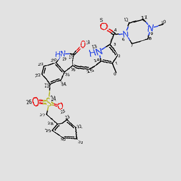 Cc1cc(C(=O)N2CCN(C)CC2)[nH]c1/C=C1\C(=O)Nc2ccc(S(=O)(=O)Cc3ccccc3)cc21